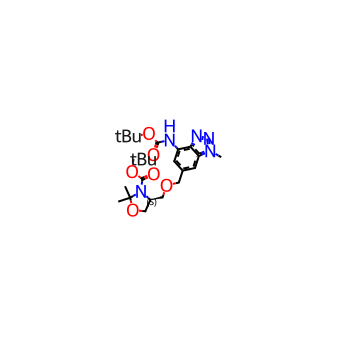 Cn1nnc2c(NC(=O)OC(C)(C)C)cc(COC[C@H]3COC(C)(C)N3C(=O)OC(C)(C)C)cc21